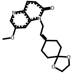 COc1cnc2ccc(=O)n(CC=C3CCC4(CC3)OCCO4)c2c1